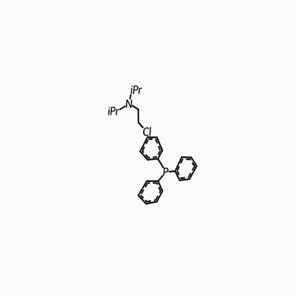 CC(C)N(CCCl)C(C)C.c1ccc(P(c2ccccc2)c2ccccc2)cc1